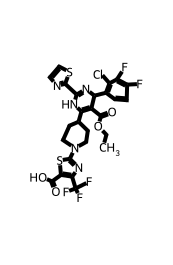 CCOC(=O)C1=C(C2CCN(c3nc(C(F)(F)F)c(C(=O)O)s3)CC2)NC(c2nccs2)=NC1c1ccc(F)c(F)c1Cl